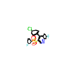 O=S(=O)(c1cccc(F)c1)c1cnc2cc(F)ccc2c1-c1ccc(Cl)cc1